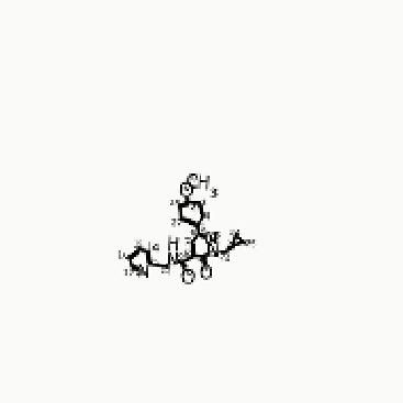 COc1ccc(-c2cc(C(=O)NCc3ccccn3)c(=O)n(CC3CC3)n2)cc1